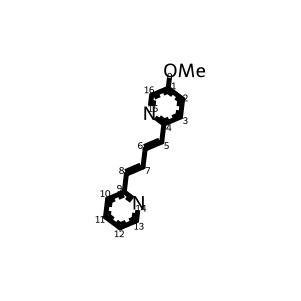 COc1ccc(C=CC=Cc2ccccn2)nc1